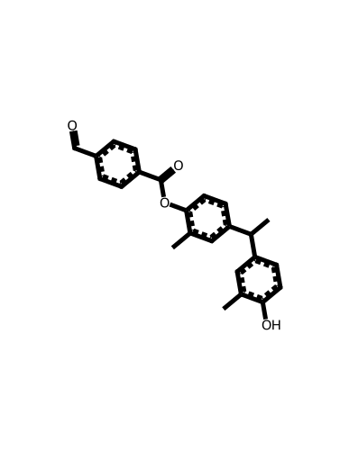 Cc1cc(C(C)c2ccc(OC(=O)c3ccc(C=O)cc3)c(C)c2)ccc1O